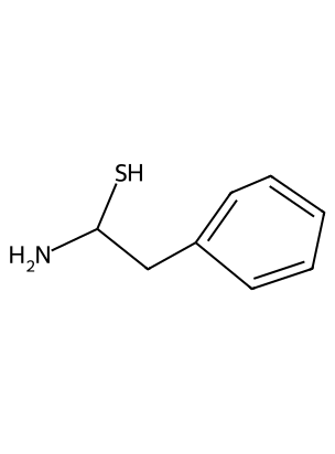 NC(S)Cc1ccccc1